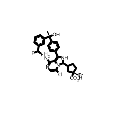 CC(C)[C@]1(C(=O)O)CCC(C2NC(c3ccc([C@@](C)(O)c4cccc(C(F)F)c4)cc3)=C3C(N)=NC=C(Cl)N32)C1